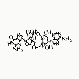 C#C[C@@]12COP(O)(=S)O[C@@H]3[C@H](F)C(OCC[C@H]1[C@@H](O)[C@H](n1cnc4c(N)ncnc41)O2)O[C@H]3n1cnc2c(=O)[nH]c(N)nc21